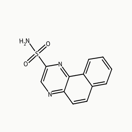 NS(=O)(=O)c1cnc2ccc3ccccc3c2n1